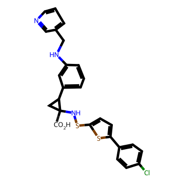 O=C(O)C1(NSc2ccc(-c3ccc(Cl)cc3)s2)CC1c1cccc(NCc2cccnc2)c1